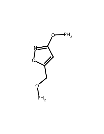 POCc1cc(OP)no1